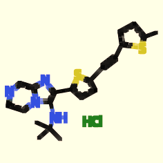 Cc1ccc(C#Cc2ccc(-c3nc4cnccn4c3NC(C)(C)C)s2)s1.Cl